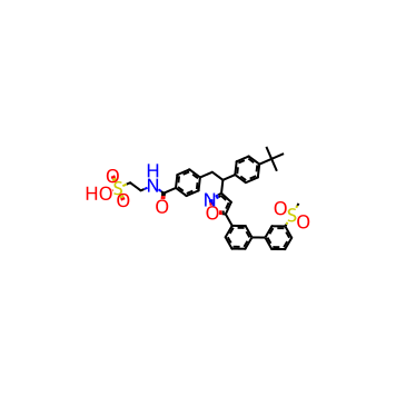 CC(C)(C)c1ccc(C(Cc2ccc(C(=O)NCCS(=O)(=O)O)cc2)c2cc(-c3cccc(-c4cccc(S(C)(=O)=O)c4)c3)on2)cc1